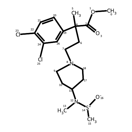 COC(=O)C(C)(CCN1CCC(N(C)[S+](C)[O-])CC1)c1ccc(Cl)c(Cl)c1